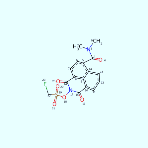 CN(C)C(=O)c1ccc2c3c(cccc13)C(=O)N(OS(=O)(=O)CF)C2=O